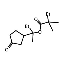 CCC(C)(C)C(=O)OC(C)(CC)C1CCC(=O)C1